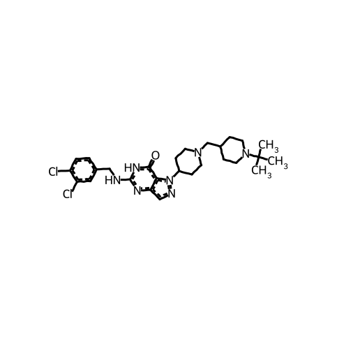 CC(C)(C)N1CCC(CN2CCC(n3ncc4nc(NCc5ccc(Cl)c(Cl)c5)[nH]c(=O)c43)CC2)CC1